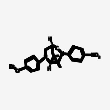 CCOc1ccc(N2C[C@H]3CN(c4ccc([N+](=O)[O-])cc4)C[C@@H]2C(C)(C)C3)cc1